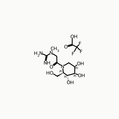 CN(CC(=O)N1C[C@@H](O)[C@@H](O)[C@H](O)[C@H]1CO)C(=N)N.O=C(O)C(F)(F)F